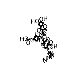 Cc1oc2cc(O)c(O)cc2c(=O)c1C(=O)NC(C(=O)N[C@@H]1C(=O)N2C(C(=O)O)=C(CSc3nnnn3CCN(C)C)CS[C@@H]12)c1ccc(OCC(=O)O)cc1